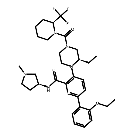 CCOc1ccccc1-c1ccc(N2CCN(C(=O)N3CCCC[C@H]3C(F)(F)F)C[C@H]2CC)c(C(=O)N[C@H]2CCN(C)C2)n1